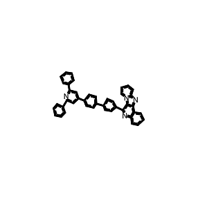 c1ccc(-c2cc(-c3ccc(-c4ccc(-c5nc6ccccc6c6nc7ccccn7c56)cc4)cc3)cc(-c3ccccc3)n2)cc1